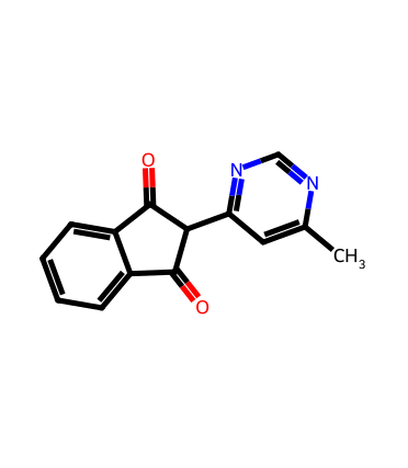 Cc1cc(C2C(=O)c3ccccc3C2=O)ncn1